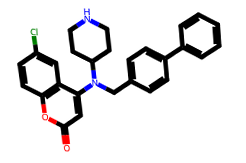 O=c1cc(N(Cc2ccc(-c3ccccc3)cc2)C2CCNCC2)c2cc(Cl)ccc2o1